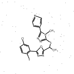 CC(Sc1nnc(-c2ccncc2)n1C)c1nnc(-c2cc(Cl)ccc2F)o1